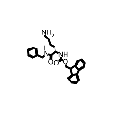 NCCCC[C@H](NC(=O)OCC1c2ccccc2-c2ccccc21)C(=O)NCc1ccccc1